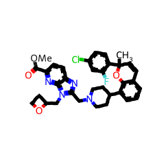 COC(=O)c1ccc2nc(CN3CCC(c4cccc5c4OC(C)(c4ccc(Cl)cc4F)C=C5)CC3)n(CC3CCO3)c2n1